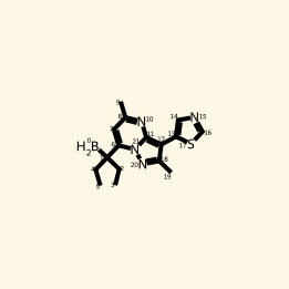 BC(CC)(CC)c1cc(C)nc2c(-c3cncs3)c(C)nn12